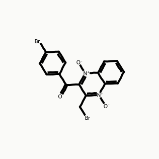 O=C(c1ccc(Br)cc1)c1c(CBr)[n+]([O-])c2ccccc2[n+]1[O-]